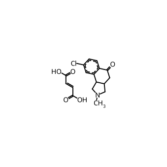 CN1CC2CC(=O)c3ccc(Cl)cc3C2C1.O=C(O)C=CC(=O)O